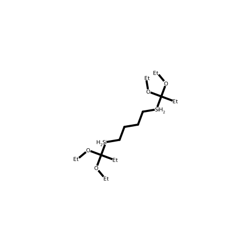 CCOC(CC)(OCC)[SiH2]CCCC[SiH2]C(CC)(OCC)OCC